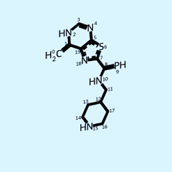 C=C1NC=Nc2sc(C(=P)NCC3CCNCC3)nc21